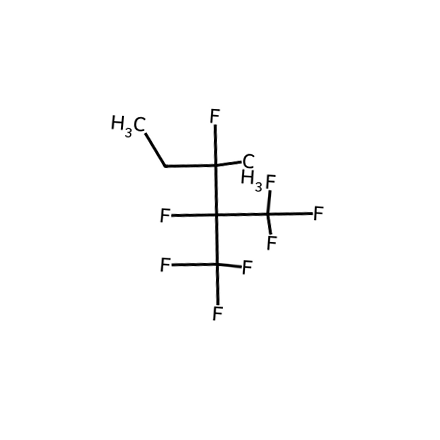 CCC(C)(F)C(F)(C(F)(F)F)C(F)(F)F